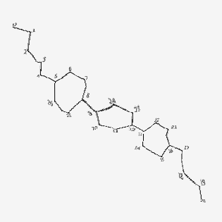 CCCCCC1CCC(C2CCC(C3CCC(CCCC)CC3)CC2)CC1